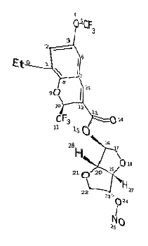 CCc1cc(OC(F)(F)F)cc2c1O[C@H](C(F)(F)F)C(C(=O)O[C@H]1CO[C@H]3[C@@H]1OC[C@H]3ON=O)=C2